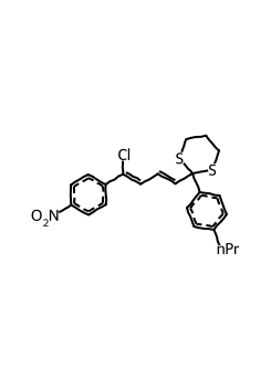 CCCc1ccc(C2(/C=C/C=C(\Cl)c3ccc([N+](=O)[O-])cc3)SCCCS2)cc1